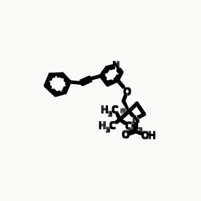 CC(C)(C)[C@]1(COc2cncc(C#Cc3ccccc3)c2)CCN1C(=O)O